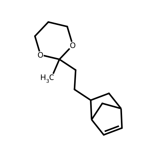 CC1(CCC2CC3C=CC2C3)OCCCO1